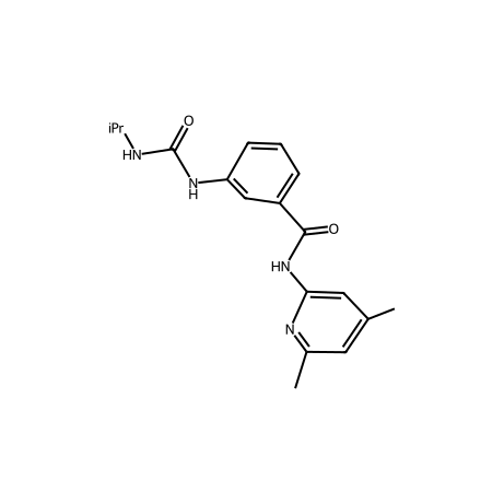 Cc1cc(C)nc(NC(=O)c2cccc(NC(=O)NC(C)C)c2)c1